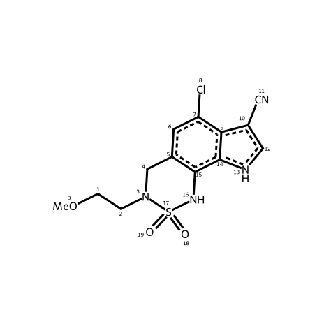 COCCN1Cc2cc(Cl)c3c(C#N)c[nH]c3c2NS1(=O)=O